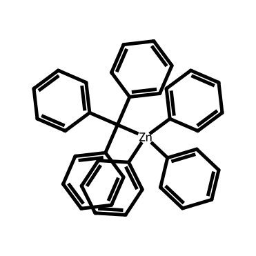 c1ccc([C](c2ccccc2)(c2ccccc2)[Zn]([c]2ccccc2)([c]2ccccc2)[c]2ccccc2)cc1